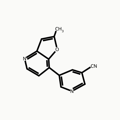 Cc1cc2nccc(-c3cncc(C#N)c3)c2o1